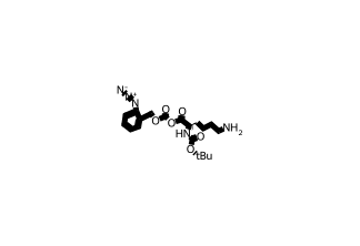 CC(C)(C)OC(=O)N[C@@H](CCCCN)C(=O)OC(=O)OCc1ccccc1N=[N+]=[N-]